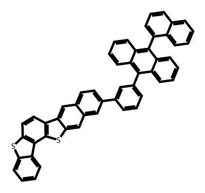 c1cc(-c2ccc3cc4c(cc3c2)sc2c4ccc3sc4ccccc4c32)cc(-c2c3ccccc3c(-c3cccc4ccccc34)c3ccccc23)c1